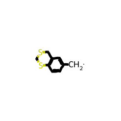 [CH2]c1ccc2c(c1)CSCS2